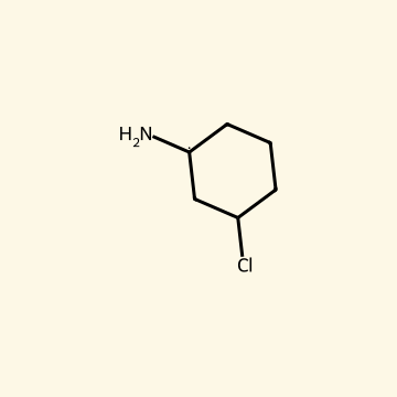 N[C]1CCCC(Cl)C1